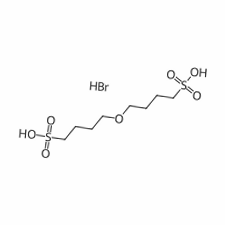 Br.O=S(=O)(O)CCCCOCCCCS(=O)(=O)O